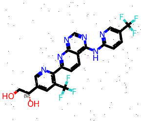 OC[C@@H](O)c1cnc(-c2ccc3c(Nc4ccc(C(F)(F)F)cn4)ncnc3n2)c(C(F)(F)F)c1